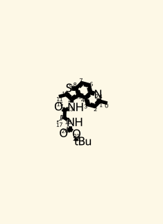 Cc1ccc2c(ccc3sc(C)c(NC(=O)[C@@H](C)NC(=O)OC(C)(C)C)c32)n1